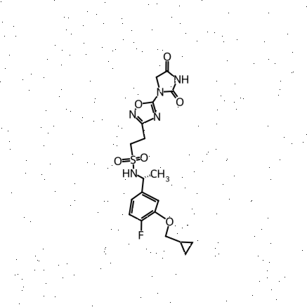 C[C@@H](NS(=O)(=O)CCc1noc(N2CC(=O)NC2=O)n1)c1ccc(F)c(OCC2CC2)c1